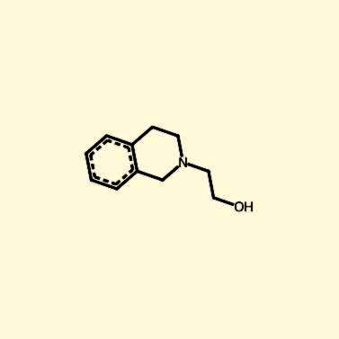 OCCN1CCc2ccccc2C1